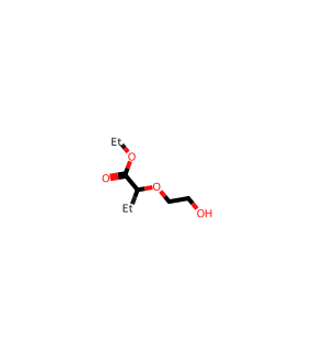 CCOC(=O)C(CC)OCCO